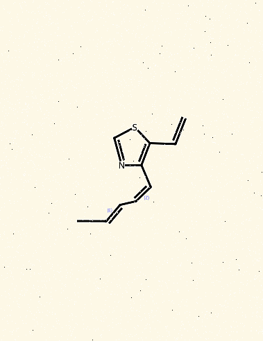 C=Cc1scnc1/C=C\C=C\C